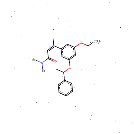 CCN(CC)C(=O)/C=C(/C)c1cc(OCC(=O)O)cc(OC(C)c2ccccc2)c1